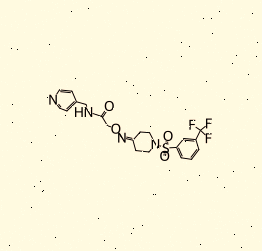 O=C(CON=C1CCN(S(=O)(=O)c2cccc(C(F)(F)F)c2)CC1)NCc1ccncc1